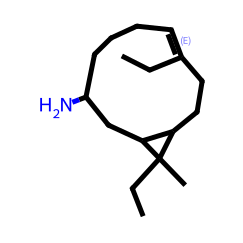 CC/C1=C\CCCC(N)CC2C(CC1)C2(C)CC